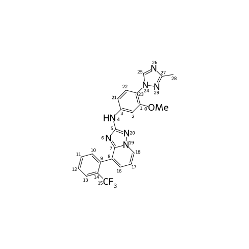 COc1cc(Nc2nc3c(-c4ccccc4C(F)(F)F)cccn3n2)ccc1-n1cnc(C)n1